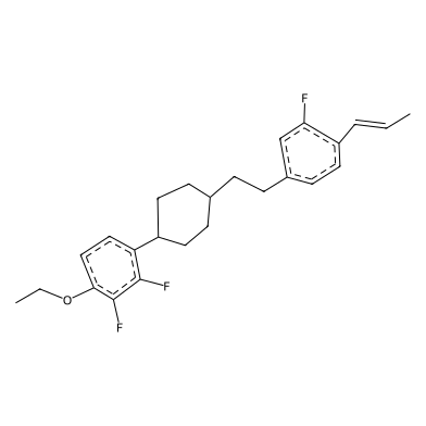 C/C=C/c1ccc(CCC2CCC(c3ccc(OCC)c(F)c3F)CC2)cc1F